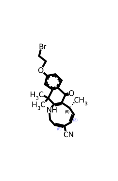 C[C@@H]1/C=C\C(C#N)=C/CNC2=C1C(=O)c1ccc(OCCBr)cc1C2(C)C